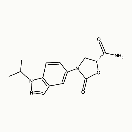 CC(C)n1ncc2cc(N3C[C@H](C(N)=O)OC3=O)ccc21